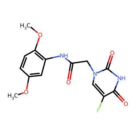 COc1ccc(OC)c(NC(=O)Cn2cc(F)c(=O)[nH]c2=O)c1